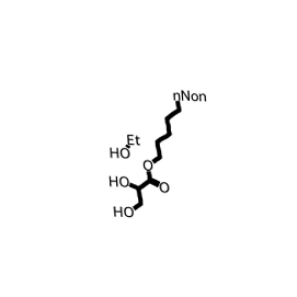 CCCCCCCCCCCCCCOC(=O)C(O)CO.CCO